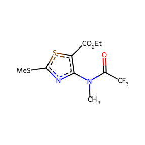 CCOC(=O)c1sc(SC)nc1N(C)C(=O)C(F)(F)F